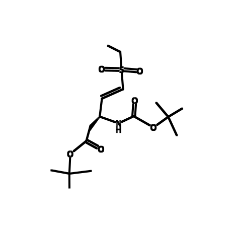 CCS(=O)(=O)/C=C/[C@H](CC(=O)OC(C)(C)C)NC(=O)OC(C)(C)C